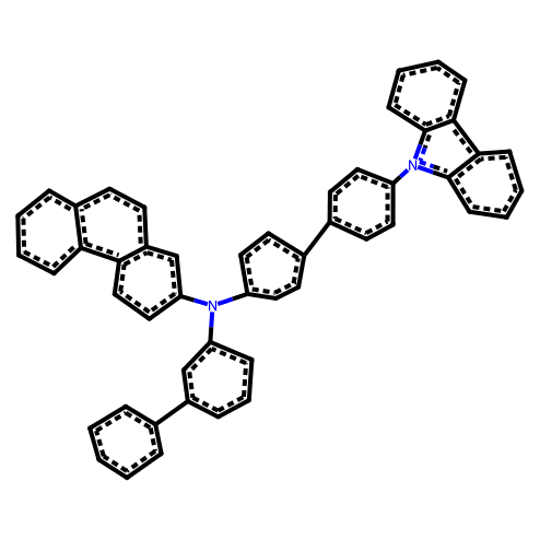 c1ccc(-c2cccc(N(c3ccc(-c4ccc(-n5c6ccccc6c6ccccc65)cc4)cc3)c3ccc4c(ccc5ccccc54)c3)c2)cc1